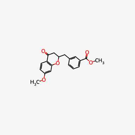 COC(=O)c1cccc(CC2CC(=O)c3ccc(OC)cc3O2)c1